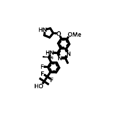 COc1cc2nc(C)nc(N[C@H](C)c3cccc(C(F)(F)C(C)(C)O)c3F)c2cc1OC1CCNC1